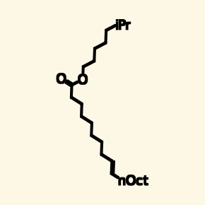 CCCCCCCCC=CCCCCCCCC(=O)OCCCCCC(C)C